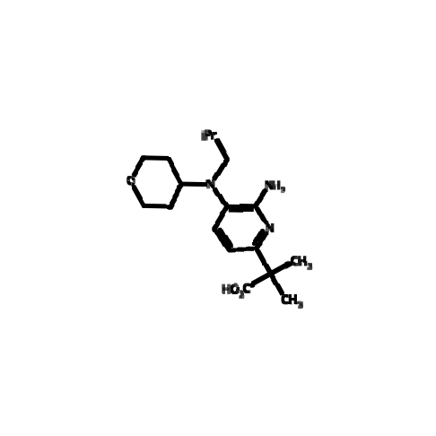 CC(C)CN(c1ccc(C(C)(C)C(=O)O)nc1N)C1CCOCC1